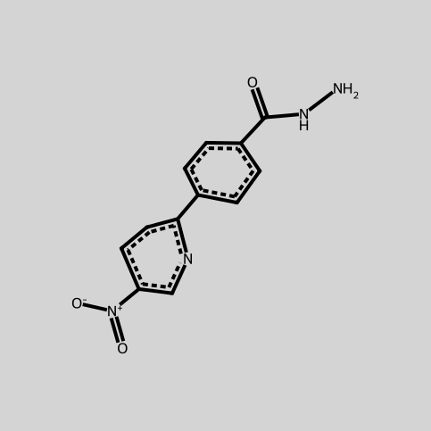 NNC(=O)c1ccc(-c2ccc([N+](=O)[O-])cn2)cc1